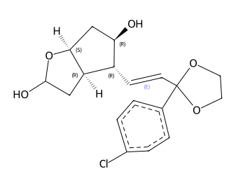 OC1C[C@@H]2[C@@H](/C=C/C3(c4ccc(Cl)cc4)OCCO3)[C@H](O)C[C@@H]2O1